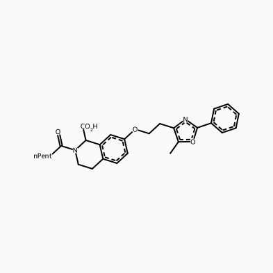 CCCCCC(=O)N1CCc2ccc(OCCc3nc(-c4ccccc4)oc3C)cc2C1C(=O)O